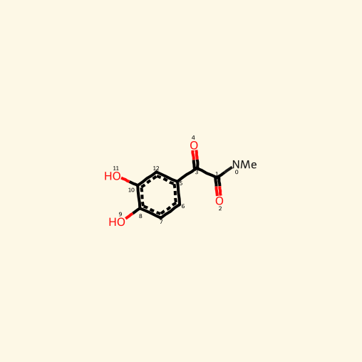 CNC(=O)C(=O)c1ccc(O)c(O)c1